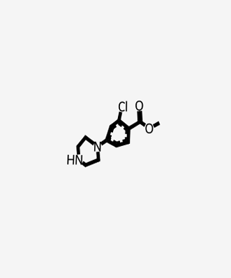 COC(=O)c1ccc(N2CCNCC2)cc1Cl